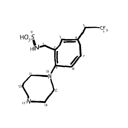 O=S(=O)(O)Nc1cc(CC(F)(F)F)ccc1N1CC[N]CC1